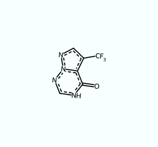 O=c1[nH]cnn2ncc(C(F)(F)F)c12